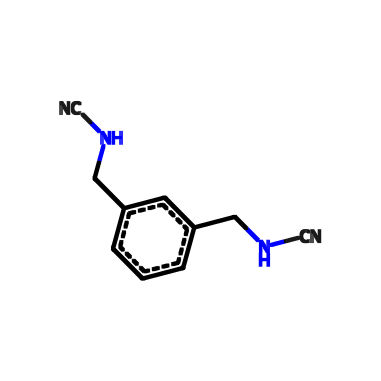 N#CNCc1cccc(CNC#N)c1